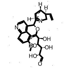 C=C[C@H]1CN2CC[C@H]1C[C@@H]2[C@@H](OC(=O)[C@@H](O)[C@@H](O)[C@H](O)[C@@H](O)C=O)c1ccnc2ccc(OC)cc12